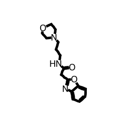 O=C(Cc1nc2ccccc2o1)NCCCN1CCOCC1